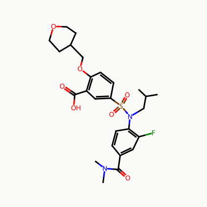 CC(C)CN(c1ccc(C(=O)N(C)C)cc1F)S(=O)(=O)c1ccc(OCC2CCOCC2)c(C(=O)O)c1